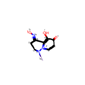 O=c1ccn2c(c1O)/C(=N/O)CCN2I